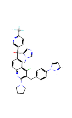 Cn1cncc1C(O)(c1ccc(C(F)(F)F)nc1)c1ccc2nc(N3CCCC3)c(Cc3ccc(-n4cccn4)cc3)c(Cl)c2c1